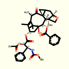 CCC(=O)O[C@@H](C(=O)O[C@H]1C[C@@]2(O)[C@@H](OC(=O)c3ccccc3)[C@@H]3[C@]4(OC(C)=O)CO[C@@H]4CC4C[C@@]43C(=O)[C@H](OC(C)=O)C(=C1C)C2(C)C)[C@@H](NC(=O)OC(C)(C)C)c1ccccc1